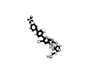 CS(C)(=O)=NC1CC=C(c2ccc(-c3nc4nc(O[C@@H]5CO[C@H](CCO)C5(F)F)[nH]c4cc3Cl)cc2)CC1